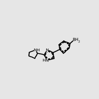 Bc1ccc(-c2c[nH]c(C3CCCN3)n2)cc1